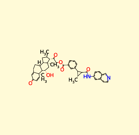 C[C@H]1C(C(=O)Nc2ccc3cnccc3c2)C1c1cccc(C(=O)OCC(=O)[C@H]2[C@H](C)CC3[C@@H]4CCC5=CC(=O)C=C[C@]5(C)C4[C@@H](O)C[C@@]32C)c1